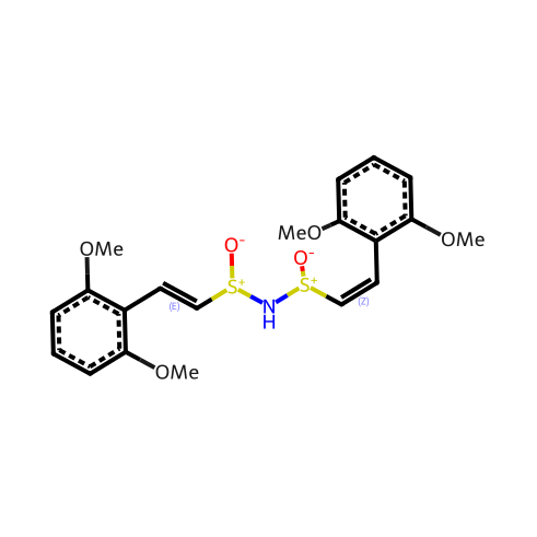 COc1cccc(OC)c1/C=C\[S+]([O-])N[S+]([O-])/C=C/c1c(OC)cccc1OC